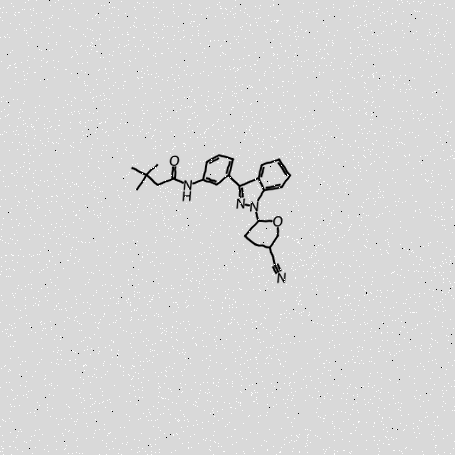 CC(C)(C)CC(=O)Nc1cccc(-c2nn(C3CCC(C#N)CO3)c3ccccc23)c1